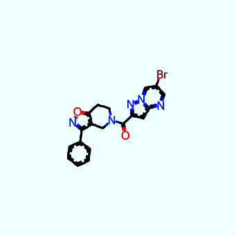 O=C(c1cc2ncc(Br)cn2n1)N1CCc2onc(-c3ccccc3)c2C1